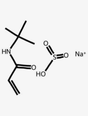 C=CC(=O)NC(C)(C)C.O=[S-](=O)O.[Na+]